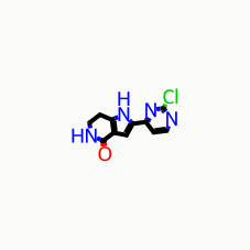 O=C1NCCc2[nH]c(-c3ccnc(Cl)n3)cc21